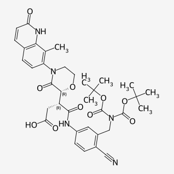 Cc1c(N2CCO[C@H]([C@@H](CC(=O)O)C(=O)Nc3ccc(C#N)c(CN(C(=O)OC(C)(C)C)C(=O)OC(C)(C)C)c3)C2=O)ccc2ccc(=O)[nH]c12